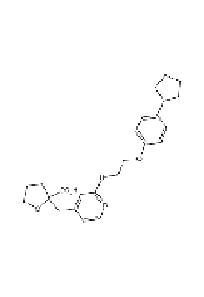 O=C(O)C1(Cc2ccnc(OCCOc3ccc(C4CCCC4)cc3)c2)CCCO1